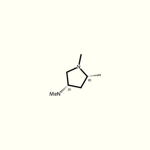 CN[C@H]1C[C@@H](C)N(C)C1